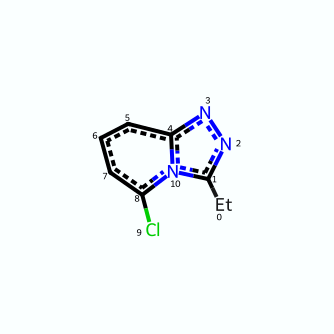 CCc1nnc2cccc(Cl)n12